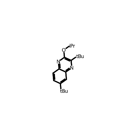 CC(C)Oc1nc2ccc(C(C)(C)C)cc2nc1C(C)(C)C